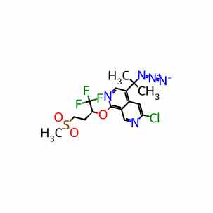 CC(C)(N=[N+]=[N-])c1cnc(O[C@@H](CCS(C)(=O)=O)C(F)(F)F)c2cnc(Cl)cc12